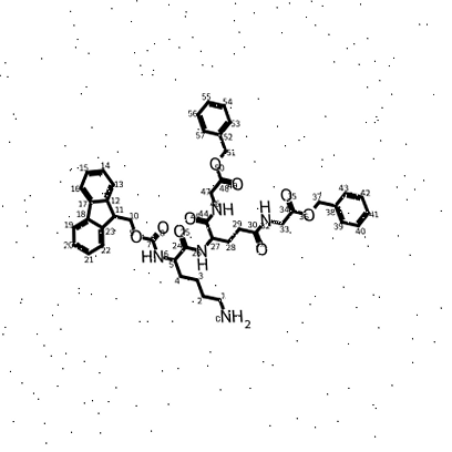 NCCCCC(NC(=O)OCC1c2ccccc2-c2ccccc21)C(=O)NC(CCC(=O)NCC(=O)OCc1ccccc1)C(=O)NCC(=O)OCc1ccccc1